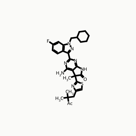 CC(=O)C(C)(C)Cc1csc(C2(C)C(=O)Nc3nc(-c4nn(CC5CCCCC5)c5cc(F)ccc45)nc(N)c32)n1